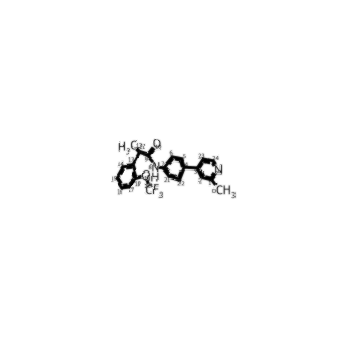 Cc1cc(-c2ccc(NC(=O)C(C)c3ccccc3OC(F)(F)F)cc2)ccn1